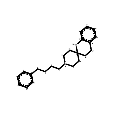 c1ccc(CCCCN2CCC3(CCc4ccccc4O3)CC2)cc1